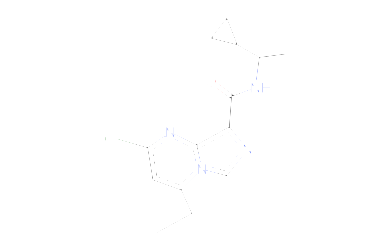 CCc1cc(Cl)nc2c(C(=O)NC(C)C3CC3)ncn12